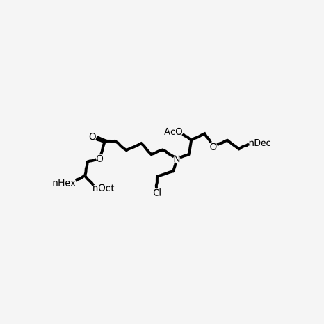 CCCCCCCCCCCCOCC(CN(CCCl)CCCCCC(=O)OCC(CCCCCC)CCCCCCCC)OC(C)=O